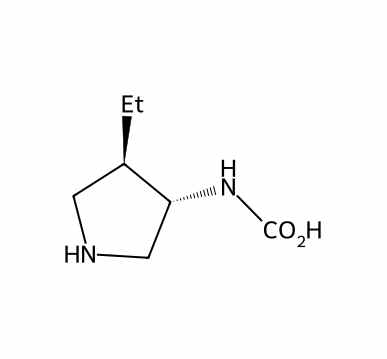 CC[C@@H]1CNC[C@H]1NC(=O)O